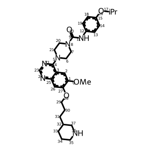 COc1cc2c(N3CCN(C(=O)Nc4ccc(OC(C)C)cc4)CC3)ncnc2cc1OCCCC1CCCNC1